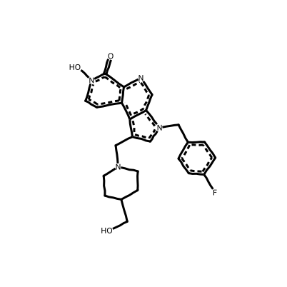 O=c1c2ncc3c(c(CN4CCC(CO)CC4)cn3Cc3ccc(F)cc3)c2ccn1O